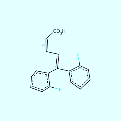 O=C(O)/C=C\C=C(c1ccccc1F)c1ccccc1F